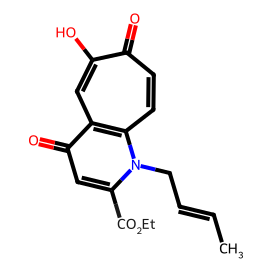 CC=CCn1c(C(=O)OCC)cc(=O)c2cc(O)c(=O)ccc21